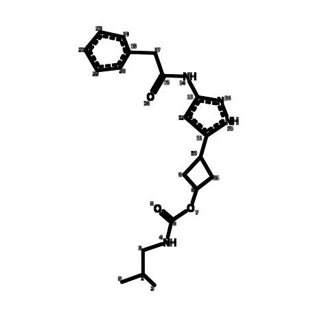 CC(C)CNC(=O)OC1CC(c2cc(NC(=O)Cc3ccccc3)n[nH]2)C1